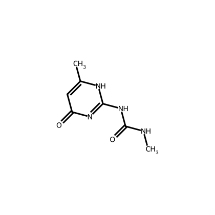 CNC(=O)Nc1nc(=O)cc(C)[nH]1